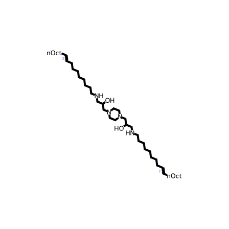 CCCCCCCC/C=C/CCCCCCCCNCC(O)CN1CCN(CC(O)CNCCCCCCCC/C=C/CCCCCCCC)CC1